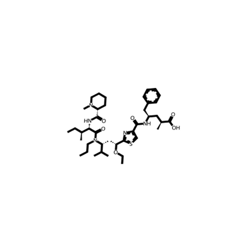 CCCN(C(=O)[C@@H](NC(=O)[C@H]1CCCCN1C)[C@@H](C)CC)[C@H](C[C@@H](OCC)c1nc(C(=O)N[C@@H](Cc2ccccc2)C[C@H](C)C(=O)O)cs1)C(C)C